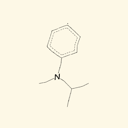 CC(C)N(C)c1cc[c]cc1